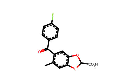 Cc1cc2c(cc1C(=O)c1ccc(F)cc1)OC(C(=O)O)O2